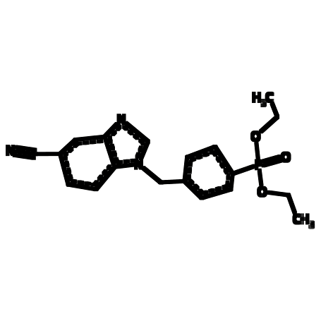 CCOP(=O)(OCC)c1ccc(Cn2cnc3cc(C#N)ccc32)cc1